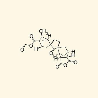 C[C@@H]1[C@H](C(=O)OC=O)[C@@H]2C[C@@H]1[C@@]1(CC[C@]3(C[C@@H]4C[C@H]3[C@H]3C(=O)OC(=O)[C@@H]43)C1=O)C2